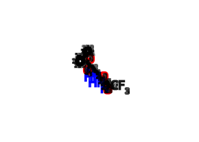 O=C(NCC1=NOC(COc2ccccc2-c2ccccc2)C1)Nc1cc(C(F)(F)F)on1